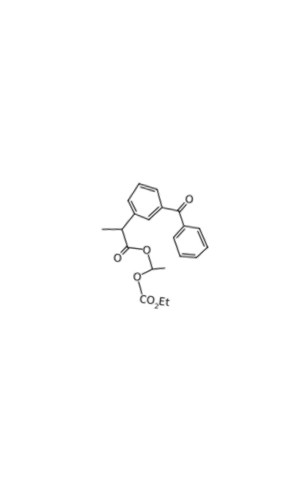 CCOC(=O)OC(C)OC(=O)C(C)c1cccc(C(=O)c2ccccc2)c1